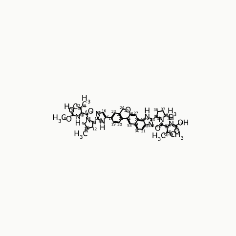 COC(=O)N[C@H](C(=O)N1C[C@@H](C)C[C@H]1c1ncc(-c2ccc3c(c2)COc2cc4c(ccc5nc([C@@H]6CC[C@H](C)N6C(=O)[C@@H](NC(=O)O)C(C)C)[nH]c54)cc2-3)[nH]1)C(C)C